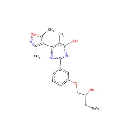 CNCC(O)COc1cccc(-c2nc(O)c(C)c(-c3c(C)noc3C)n2)c1